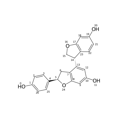 Oc1ccc([C@H]2Cc3c(cc(O)cc3[C@@H]3COc4cc(O)ccc43)O2)cc1